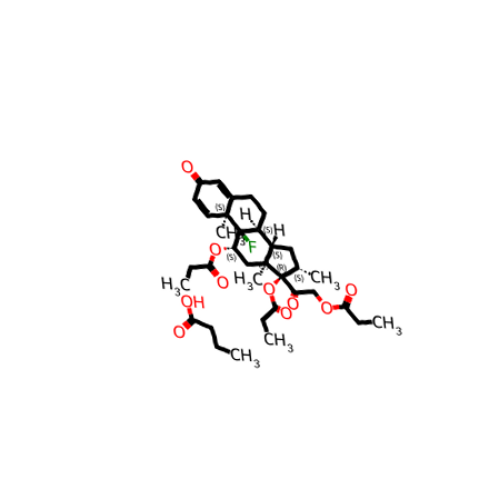 CCC(=O)OCC(=O)[C@@]1(OC(=O)CC)[C@@H](C)C[C@H]2[C@@H]3CCC4=CC(=O)C=C[C@]4(C)C3(F)[C@@H](OC(=O)CC)C[C@@]21C.CCCC(=O)O